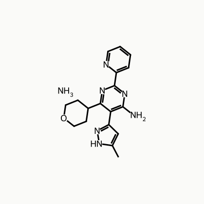 Cc1cc(-c2c(N)nc(-c3ccccn3)nc2C2CCOCC2)n[nH]1.N